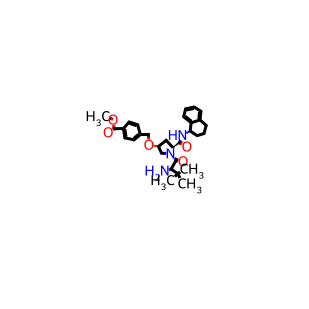 COC(=O)c1ccc(CO[C@H]2C[C@@H](C(=O)N[C@@H]3CCCc4ccccc43)N(C(=O)C(N)C(C)(C)C)C2)cc1